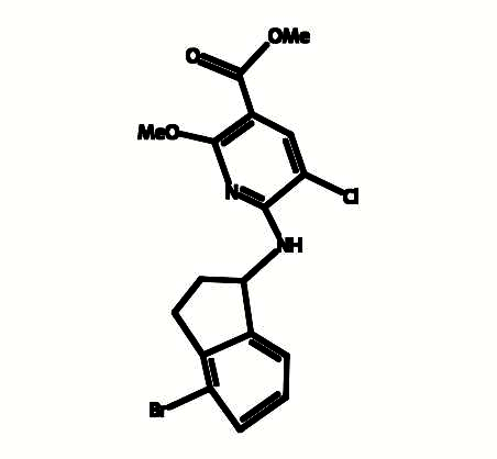 COC(=O)c1cc(Cl)c(NC2CCc3c(Br)cccc32)nc1OC